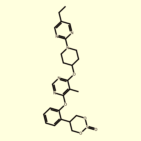 CCc1cnc(N2CCC(Oc3ncnc(Oc4ccccc4C4COS(=O)OC4)c3C)CC2)nc1